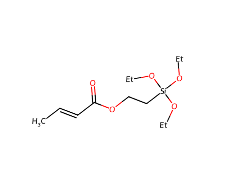 CC=CC(=O)OCC[Si](OCC)(OCC)OCC